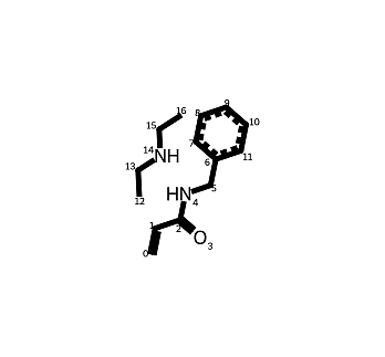 C=CC(=O)NCc1ccccc1.CCNCC